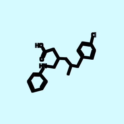 CC(Cc1ccc(Cl)cc1)CC(CNc1ccccc1)CC(=O)O